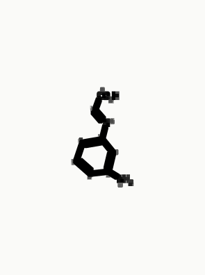 Nc1cccc(/N=C/C(=O)O)c1